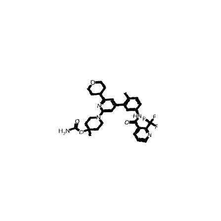 Cc1ccc(NC(=O)c2cccnc2C(F)(F)F)cc1-c1cc(C2CCOCC2)nc(N2CCC(C)(OC(N)=O)CC2)c1